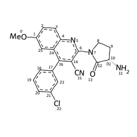 COc1ccc2nc(N3CC[C@H](N)C3=O)c(C#N)c(-c3cccc(Cl)c3)c2c1